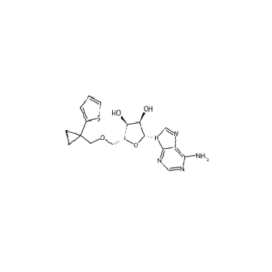 Nc1ncnc2c1ncn2[C@@H]1O[C@H](COCC2(c3cccs3)CC2)[C@@H](O)[C@H]1O